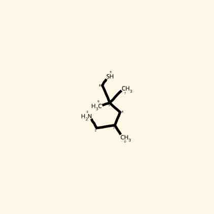 CC(CN)CC(C)(C)CS